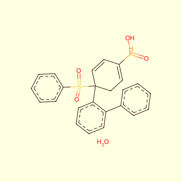 O.O=[PH](O)C1=CCC(c2ccccc2-c2ccccc2)(S(=O)(=O)c2ccccc2)C=C1